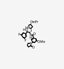 CCCO[C@H]1CN[C@H](C[C@H](NC(=O)c2cc(OC)cc(N3CCCC3=O)c2)C(O)c2cc(F)cc(F)c2)C1